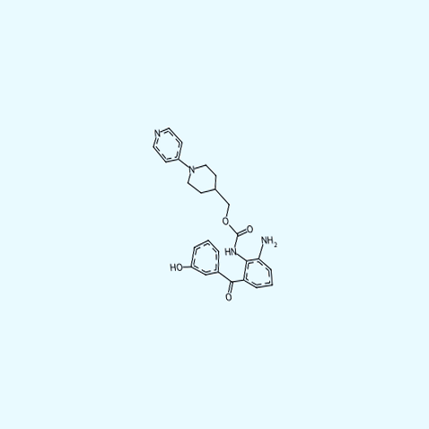 Nc1cccc(C(=O)c2cccc(O)c2)c1NC(=O)OCC1CCN(c2ccncc2)CC1